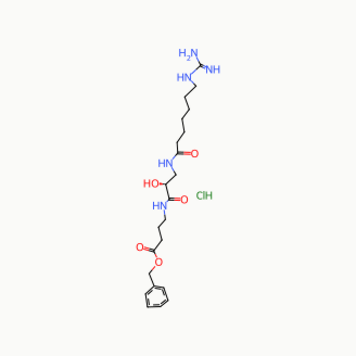 Cl.N=C(N)NCCCCCCC(=O)NC[C@H](O)C(=O)NCCCC(=O)OCc1ccccc1